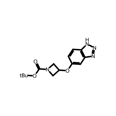 CC(C)(C)OC(=O)N1CC(Oc2ccc3[nH]nnc3c2)C1